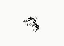 CC1(CN2CCC(N(Cc3ccc(OC(F)(F)F)cc3)C(=O)O)CC2)Cn2cc([N+](=O)[O-])nc2O1